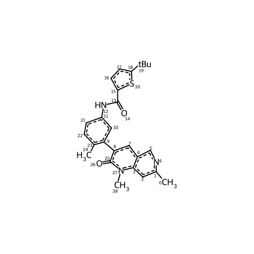 Cc1cc2c(cn1)cc(-c1cc(NC(=O)c3ccc(C(C)(C)C)s3)ccc1C)c(=O)n2C